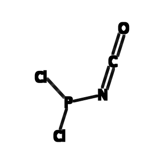 O=C=NP(Cl)Cl